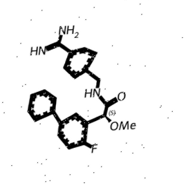 CO[C@H](C(=O)NCc1ccc(C(=N)N)cc1)c1cc(-c2ccccc2)ccc1F